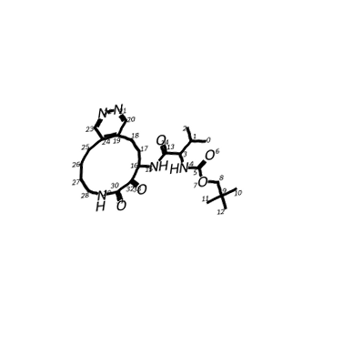 CC(C)C(NC(=O)OCC(C)(C)C)C(=O)NC1CCc2cnncc2CCCCNC(=O)C1=O